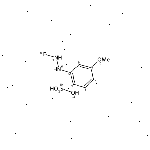 COc1cccc(NNF)c1.O=S(=O)(O)O